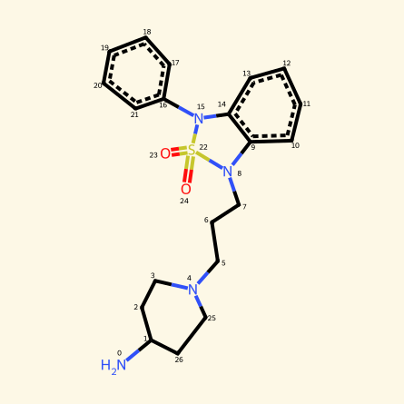 NC1CCN(CCCN2c3ccccc3N(c3ccccc3)S2(=O)=O)CC1